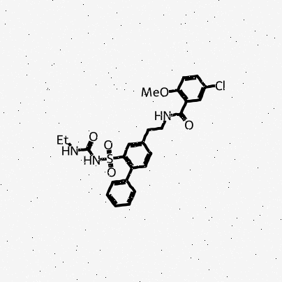 CCNC(=O)NS(=O)(=O)c1cc(CCNC(=O)c2cc(Cl)ccc2OC)ccc1-c1ccccc1